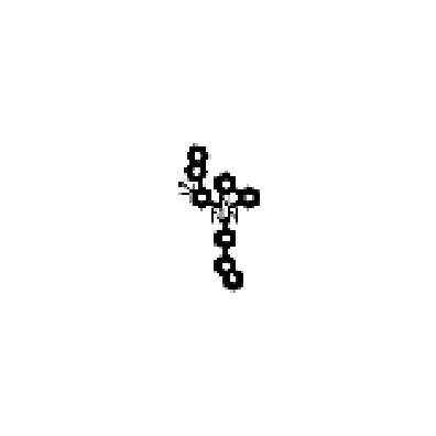 C[Si]1(C)c2ccc(-c3nc(-c4ccc(-c5ccc6ccccc6c5)cc4)nc(-c4ccccc4-c4ccccc4)n3)cc2-c2cc3ccccc3cc21